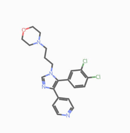 Clc1ccc(-c2c(-c3ccncc3)ncn2CCCN2CCOCC2)cc1Cl